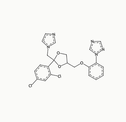 Clc1ccc(C2(Cn3ccnc3)OCC(COc3ccccc3-n3cncn3)O2)c(Cl)c1